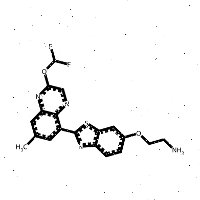 Cc1cc(-c2nc3ccc(OCCN)cc3s2)c2ncc(OC(F)F)nc2c1